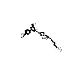 CCCCCCC(O)CN1CCC(COc2cc(C=O)cc(-c3ccc(Cl)cc3)c2)CC1